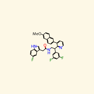 COc1ccc2cc(-c3cccnc3C(CNC(=O)Cc3c[nH]c4ccc(F)cc34)c3cc(F)cc(F)c3)ccc2c1